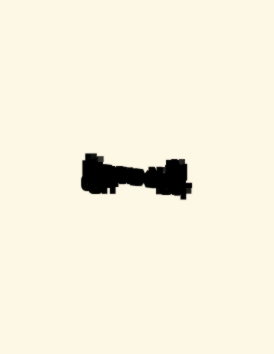 O=P(O)(O)OC(c1ccc(N2CCN(c3ccc(-c4ccc(C(F)(F)[C@]5(O)Cn6nnnc6-c6cc(F)ccc65)nc4)cc3)CC2)cn1)C(F)(F)F